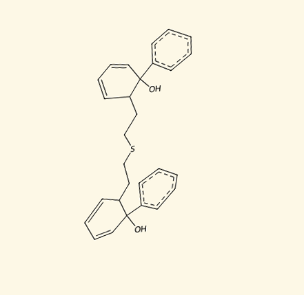 OC1(c2ccccc2)C=CC=CC1CCSCCC1C=CC=CC1(O)c1ccccc1